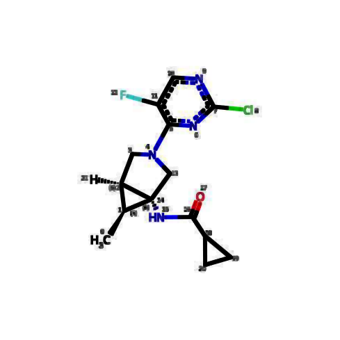 C[C@H]1[C@H]2CN(c3nc(Cl)ncc3F)C[C@]21NC(=O)C1CC1